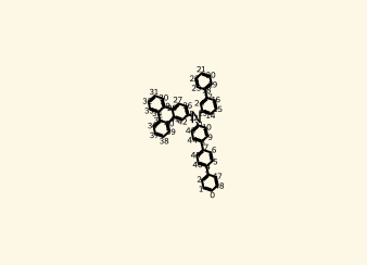 c1ccc(-c2ccc(-c3ccc(N(c4cccc(-c5ccccc5)c4)c4ccc5c6ccccc6c6ccccc6c5c4)cc3)cc2)cc1